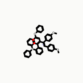 COc1ccc(/C=C(\c2ccc(OC)cc2)c2cc(Oc3ccccc3)ccc2-c2ccccc2P(c2ccccc2)c2ccccc2)cc1